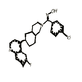 O/N=C(\c1ccc(Cl)cc1)N1CCC2CC(c3ccnc4ccc(F)cc34)CCC2C1